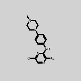 CC(=O)c1ncc(Cl)nc1Nc1ccc(N2CCN(C)CC2)cc1